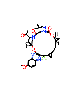 COc1ccc2nc3c(nc2c1)O[C@H]1CN(C(=O)[C@H](C(C)(C)C)NC(=O)O[C@@H]2C[C@H]2CCC2CC2C3(F)F)[C@H](C(C)=O)[C@@H]1C